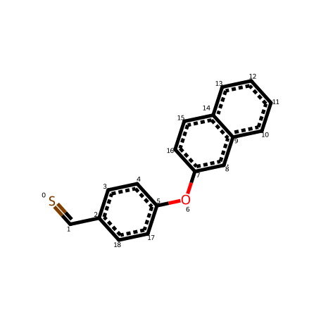 S=Cc1ccc(Oc2[c]c3ccccc3cc2)cc1